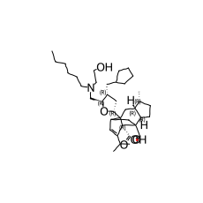 CCCCCCN(CCO)C[C@@H]1O[C@@H](C23C[C@@H]4[C@H](C)CC[C@H]4C4(C=O)CC2C=C(C(C)C)[C@]43C(=O)O)C[C@H]1CC1CCCC1